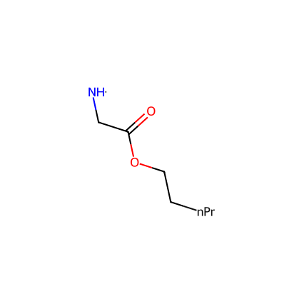 CCCCCOC(=O)C[NH]